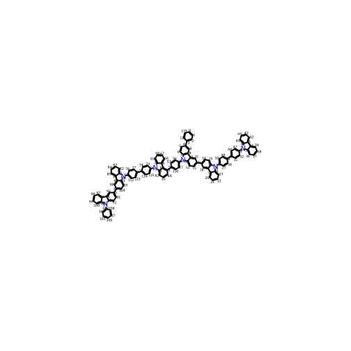 c1ccc(-c2ccc3c(c2)c2cc(-c4ccc5c(c4)c4ccccc4n5-c4ccc(-c5ccc(-n6c7ccccc7c7ccccc76)cc5)cc4)ccc2n3-c2ccc(-c3cccc4c3c3ccccc3n4-c3ccc(-c4ccc(-n5c6ccccc6c6cc(-c7ccc8c(c7)c7ccccc7n8-c7ccccc7)ccc65)cc4)cc3)cc2)cc1